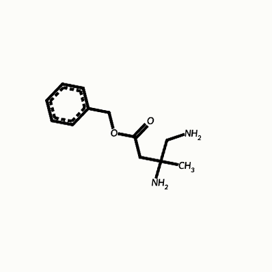 CC(N)(CN)CC(=O)OCc1ccccc1